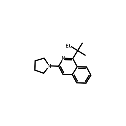 CCC(C)(C)c1nc(N2CCCC2)cc2ccccc12